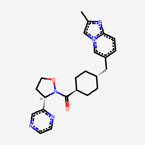 Cc1cn2cc(C[C@H]3CC[C@H](C(=O)N4OCC[C@H]4c4cnccn4)CC3)ccc2n1